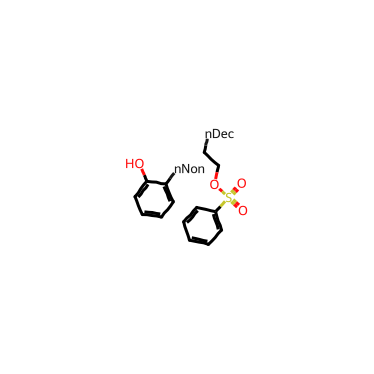 CCCCCCCCCCCCOS(=O)(=O)c1ccccc1.CCCCCCCCCc1ccccc1O